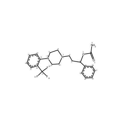 NC(=O)OC(CCN1CCN(c2ccccc2C(F)(F)F)CC1)c1ccccc1